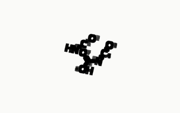 N=C=O.O=C=NC(=O)O